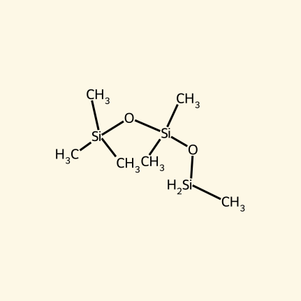 C[SiH2]O[Si](C)(C)O[Si](C)(C)C